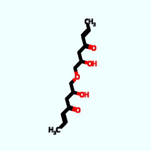 CC=CC(=O)CC(O)COCC(O)CC(=O)C=CC